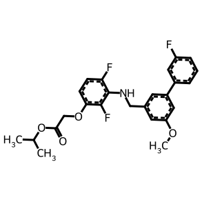 COc1cc(CNc2c(F)ccc(OCC(=O)OC(C)C)c2F)cc(-c2cccc(F)c2)c1